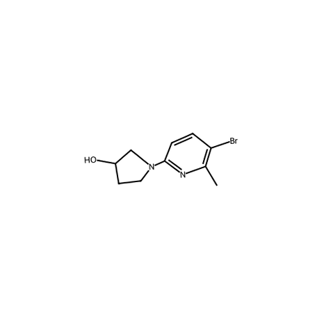 Cc1nc(N2CCC(O)C2)ccc1Br